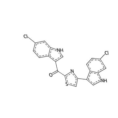 O=C(c1nc(-c2c[nH]c3cc(Cl)ccc23)cs1)c1c[nH]c2cc(Cl)ccc12